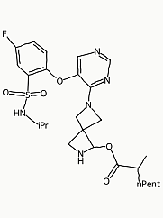 CCCCCC(C)C(=O)OC1NCC12CN(c1ncncc1Oc1ccc(F)cc1S(=O)(=O)NC(C)C)C2